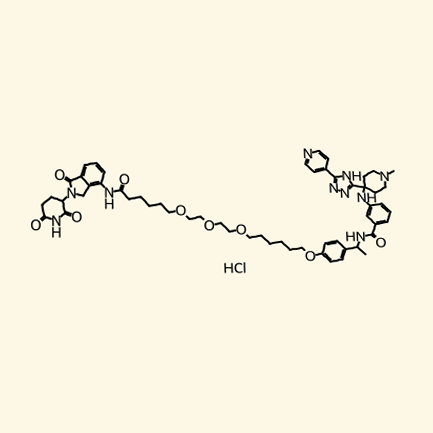 CC(NC(=O)c1cccc(NC2(c3nnc(-c4ccncc4)[nH]3)CCN(C)CC2)c1)c1ccc(OCCCCCCOCCOCCOCCCCCC(=O)Nc2cccc3c2CN(C2CCC(=O)NC2=O)C3=O)cc1.Cl